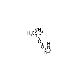 C[Si](C)(C)CCOCOc1ncc[nH]1